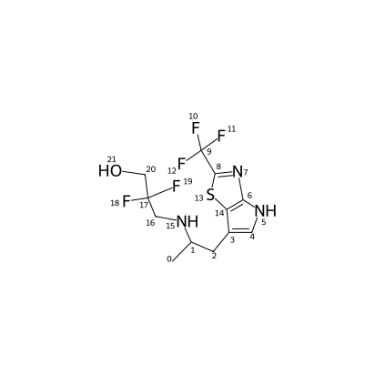 CC(Cc1c[nH]c2nc(C(F)(F)F)sc12)NCC(F)(F)CO